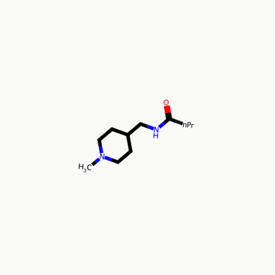 CCCC(=O)NCC1CCN(C)CC1